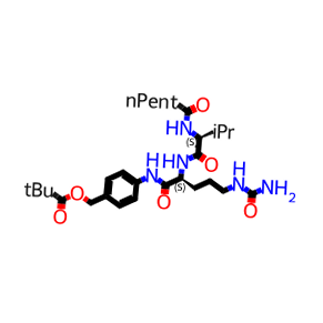 CCCCCC(=O)N[C@H](C(=O)N[C@@H](CCCNC(N)=O)C(=O)Nc1ccc(COC(=O)C(C)(C)C)cc1)C(C)C